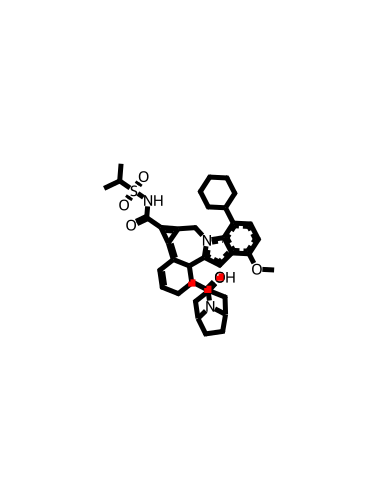 COc1ccc(C2CCCCC2)c2c1cc1n2CC2=C(C(=O)NS(=O)(=O)C(C)C)C2=C2C=CC[C@@H](C(=O)N3C4CCC3CC(C)(O)C4)C21